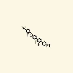 CCC1CCC(c2ccc(-c3ccc(OCc4ccc(C5CO5)cc4F)cc3)c(F)c2F)CC1